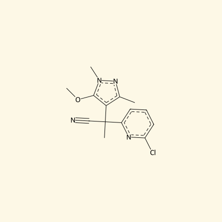 COc1c(C(C)(C#N)c2cccc(Cl)n2)c(C)nn1C